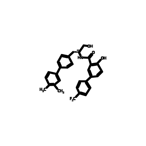 Cc1ccc(-c2ccc(C[C@H](CO)NC(=O)c3cc(-c4ccc(C(F)(F)F)cc4)ccc3O)cc2)cc1C